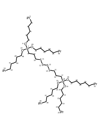 CC(C)CCCCCO[Si](CCCSSSSCCC[Si](OCCCCCC(C)C)(OCCCCCC(C)C)OCCCCCC(C)C)(OCCCCCC(C)C)OCCCCCC(C)C